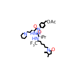 C=C1C(C)CC(=O)N1CCCCC[C@@H](N[C@H](C(=O)N[C@@H](CCCN1CCCCC1)C(=O)Nc1ccc(COC(C)=O)cc1)C(C)C)C(F)(F)F